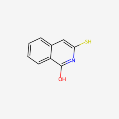 Oc1nc(S)cc2ccccc12